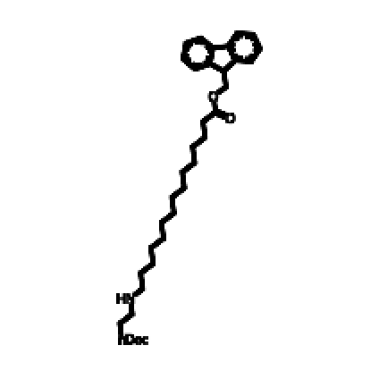 CCCCCCCCCCCCNCCCCCCCCCCCCCCC(=O)OCC1c2ccccc2-c2ccccc21